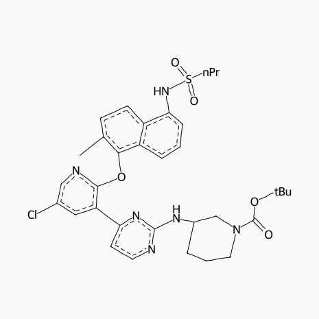 CCCS(=O)(=O)Nc1cccc2c(Oc3ncc(Cl)cc3-c3ccnc(NC4CCCN(C(=O)OC(C)(C)C)C4)n3)c(C)ccc12